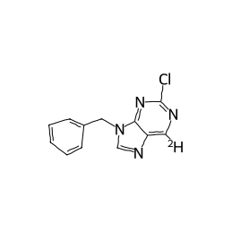 [2H]c1nc(Cl)nc2c1ncn2Cc1ccccc1